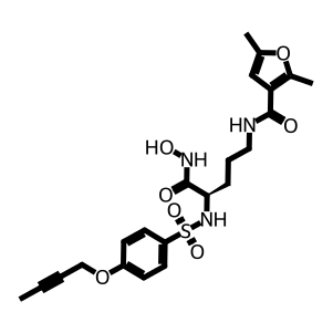 CC#CCOc1ccc(S(=O)(=O)N[C@H](CCCNC(=O)c2cc(C)oc2C)C(=O)NO)cc1